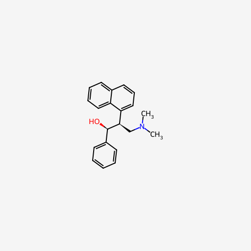 CN(C)C[C@H](c1cccc2ccccc12)[C@H](O)c1ccccc1